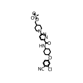 CS(=O)(=O)OCC1CCN(c2ccc(C(=O)NC3CCC(Oc4ccc(C#N)c(Cl)c4)CC3)nn2)CC1